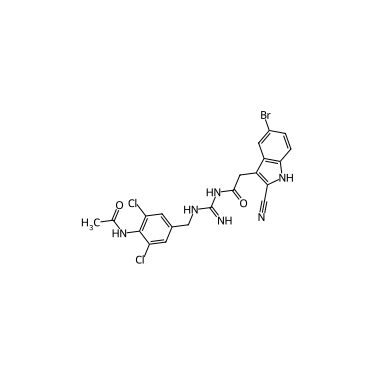 CC(=O)Nc1c(Cl)cc(CNC(=N)NC(=O)Cc2c(C#N)[nH]c3ccc(Br)cc23)cc1Cl